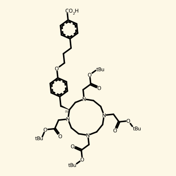 CC(C)(C)OC(=O)CN1CCN(CC(=O)OC(C)(C)C)CCN(CC(=O)OC(C)(C)C)[C@@H](Cc2ccc(OCCCc3ccc(C(=O)O)cc3)cc2)CN(CC(=O)OC(C)(C)C)CC1